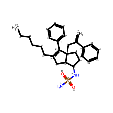 C=C(C[C@@]12CC[C@@H](NS(N)(=O)=O)C1CC(CCCCCC)=C2c1ccccc1)c1ccccc1